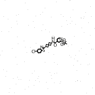 CC(C)(C)S(=O)(=O)c1cc(C(=O)NC2CC3(C2)CC(c2nc4cc(Cl)ccc4s2)C3)ccn1